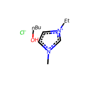 CCCCO.CC[n+]1ccn(C)c1.[Cl-]